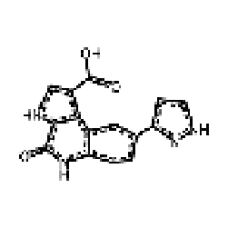 O=C(O)c1c[nH]c2c(=O)[nH]c3ccc(-c4cc[nH]n4)cc3c12